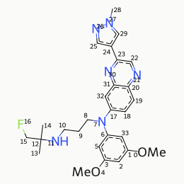 COc1cc(OC)cc(N(CCCNC(C)(C)CF)c2ccc3ncc(-c4cnn(C)c4)nc3c2)c1